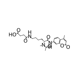 CC(=O)N(C)[C@@H](CCCCNC(=O)CCC(=O)O)C(=O)Nc1ccc2c(C)cc(=O)oc2c1